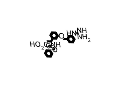 N=C(N)Nc1cccc(COc2cccc(C(CC(=O)O)NS(=O)(=O)c3ccccc3)c2)c1